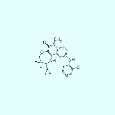 Cn1c(=O)c2c(c3cc(Nc4ccncc4Cl)ccc31)N[C@@H](C1CC1)C(F)(F)CO2